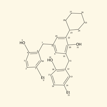 CCc1ccc(O)c(Cc2cc(Cc3cc(CC)ccc3O)c(O)c(C3CCCCC3)c2)c1